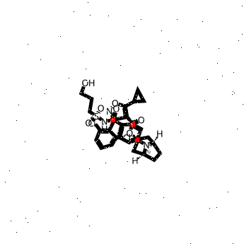 O=C(NS(=O)(=O)CCCO)c1ccc(N2[C@@H]3CC[C@H]2C[C@@H](OC(=O)c2c(-c4c(Cl)cccc4Cl)noc2C2CC2)C3)cc1